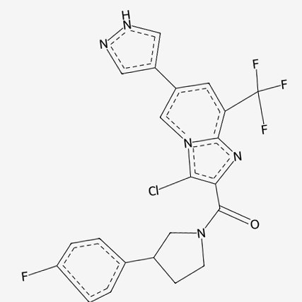 O=C(c1nc2c(C(F)(F)F)cc(-c3cn[nH]c3)cn2c1Cl)N1CCC(c2ccc(F)cc2)C1